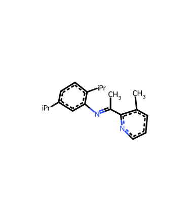 CC(=Nc1cc(C(C)C)ccc1C(C)C)c1ncccc1C